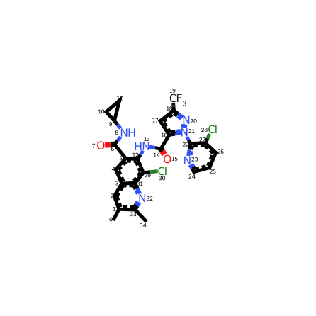 Cc1cc2cc(C(=O)NC3CC3)c(NC(=O)c3cc(C(F)(F)F)nn3-c3ncccc3Cl)c(Cl)c2nc1C